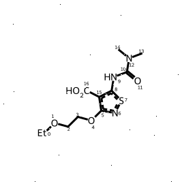 CCOCCOc1nsc(NC(=O)N(C)C)c1C(=O)O